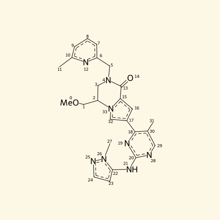 COCC1CN(Cc2cccc(C)n2)C(=O)c2cc(-c3nc(Nc4ccnn4C)ncc3C)cn21